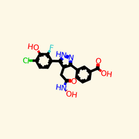 O=C(Cc1c(-c2cccc(C(=O)O)c2)n[nH]c1-c1ccc(Cl)c(O)c1F)NO